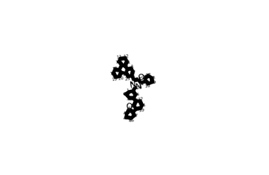 c1cc(-c2nc(-c3ccc4c5ccccc5c5ccccc5c4c3)c3oc4ccccc4c3n2)cc(-c2cccc3c2oc2ccccc23)c1